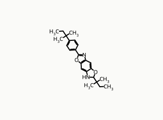 CCC(C)(C)c1ccc(-c2nc3cc4c(cc3o2)NC(C(C)(C)CC)O4)cc1